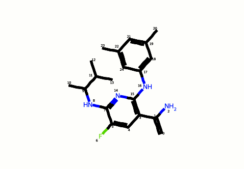 C=C(N)c1cc(F)c(NC(C)C(C)C)nc1Nc1cc(C)cc(C)c1